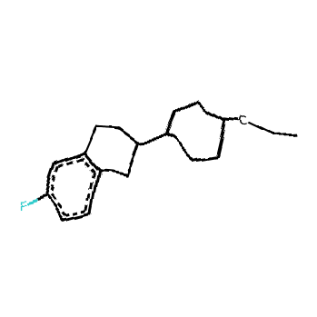 CCCC1CCC(C2CCc3cc(F)ccc3C2)CC1